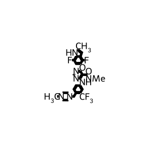 CNC(=O)c1c(Nc2ccc(CN3CCN(C)CC3)c(C(F)(F)F)c2)ncnc1Oc1cc(F)c2[nH]c(C)cc2c1F